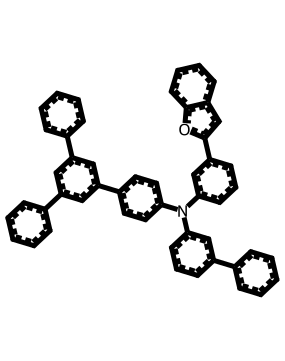 c1ccc(-c2cc(-c3ccccc3)cc(-c3ccc(N(c4cccc(-c5ccccc5)c4)c4cccc(-c5cc6ccccc6o5)c4)cc3)c2)cc1